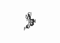 FC1CN(c2ccc3ncc(-c4cc(Cl)ncn4)n3n2)C1